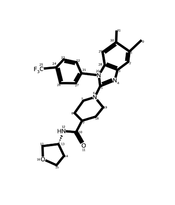 Cc1cc2nc(N3CCC(C(=O)N[C@@H]4CCOC4)CC3)n(-c3ccc(C(F)(F)F)cc3)c2cc1C